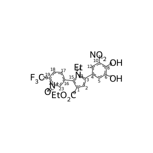 CCOC(=O)c1cc(-c2cc(O)c(O)c([N+](=O)[O-])c2)n(CC)c1-c1ccc(C(F)(F)F)[n+]([O-])c1